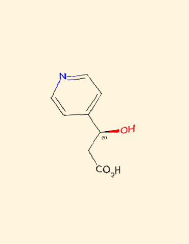 O=C(O)C[C@H](O)c1ccncc1